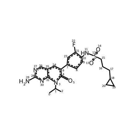 CC(C)n1c(=O)c(-c2ccc(NS(=O)(=O)CCCC3CC3)c(F)c2)cc2cnc(N)nc21